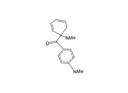 CNc1ccc(C(=O)C2(NC)C=CC=CC2)cc1